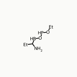 CCOPOBC(N)CC